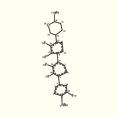 CCCCc1ccc(-c2ccc(-c3ccc(C4CCC(CCC)OC4)c(F)c3F)c(F)c2F)cc1F